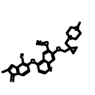 COc1cc2c(Oc3ccc4[nH]c(C)cc4c3F)ccnc2cc1OCC1(CN2CCN(C)CC2)CC1